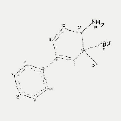 CC(C)(C)C1(C)C=C(c2ccccc2)C=CC1N